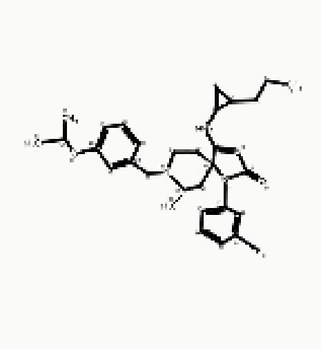 CCCC1CC1NC1=NC(=O)N(c2cccc(F)c2)[C@@]12CCN(Cc1cccc(OC(C)C)c1)[C@@H](C)C2